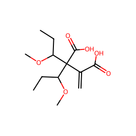 C=C(C(=O)O)C(C(=O)O)(C(CC)OC)C(CC)OC